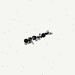 CC1(NCC(=O)NCc2ccc(/C=C/C(=O)O)cc2)CCN(c2cnc(-c3cccc(Cl)c3Cl)c(N)n2)CC1